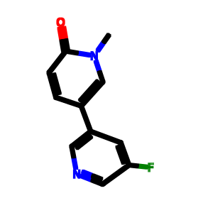 Cn1cc(-c2cncc(F)c2)ccc1=O